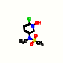 CN(C1=CC=C(Cl)N(O)C1)S(C)(=O)=O